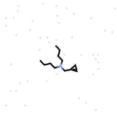 CCCCN(CCCC)CC1=CC1